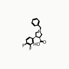 O=C(O)[C@@H]1CN(Cc2ccccc2)C[C@@H]1c1ccc(F)c(F)c1